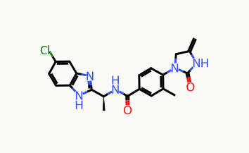 C=C1CN(c2ccc(C(=O)N[C@@H](C)c3nc4cc(Cl)ccc4[nH]3)cc2C)C(=O)N1